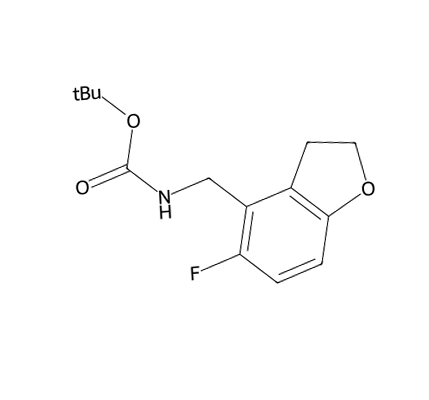 CC(C)(C)OC(=O)NCc1c(F)ccc2c1CCO2